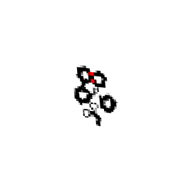 CCC(=O)Oc1cccc(-c2ccccc2)c1P(c1ccccc1)c1ccccc1